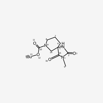 CN1C(=O)NC2(CCCN(C(=O)OC(C)(C)C)C2)C1=O